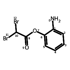 Nc1ccccc1OC(=O)C(Br)Br